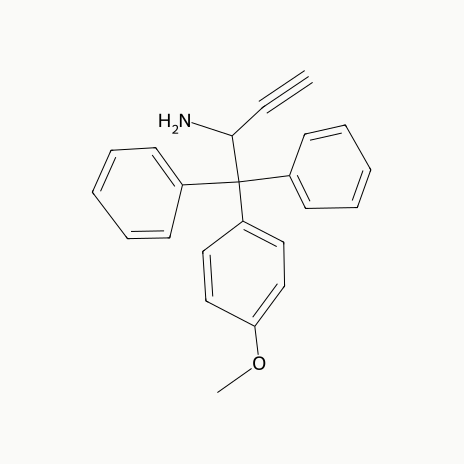 C#CC(N)C(c1ccccc1)(c1ccccc1)c1ccc(OC)cc1